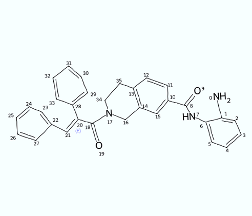 Nc1ccccc1NC(=O)c1ccc2c(c1)CN(C(=O)/C(=C/c1ccccc1)c1ccccc1)CC2